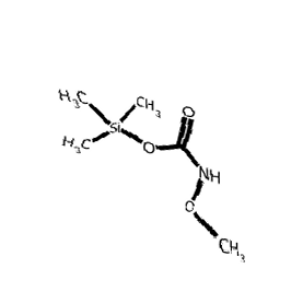 CONC(=O)O[Si](C)(C)C